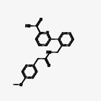 COc1ccc(CC(=O)NCc2ccccc2-c2cccc(C(=O)O)n2)cc1